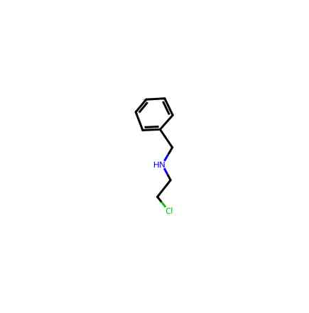 ClCCNCc1cc[c]cc1